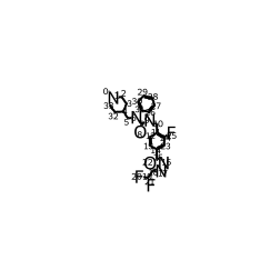 CN1CCC(Cn2c(=O)n(Cc3ccc(-c4nnc(C(F)F)o4)cc3F)c3ccccc32)CC1